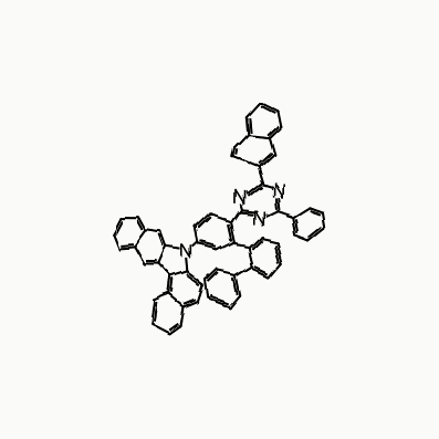 c1ccc(-c2nc(-c3ccc4ccccc4c3)nc(-c3ccc(-n4c5cc6ccccc6cc5c5c6ccccc6ccc54)cc3-c3ccccc3-c3ccccc3)n2)cc1